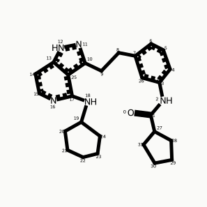 O=C(Nc1cccc(CCc2n[nH]c3ccnc(NC4CCCCC4)c23)c1)C1CCCC1